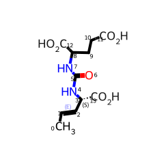 C/C=C/[C@H](NC(=O)NC(CCC(=O)O)C(=O)O)C(=O)O